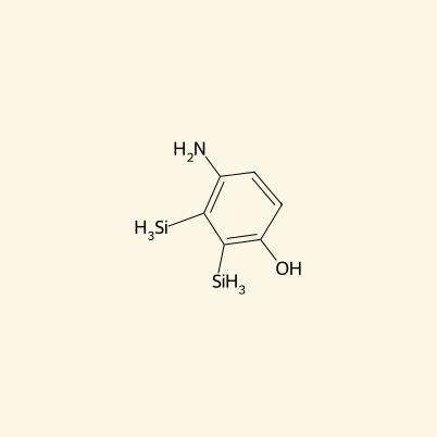 Nc1ccc(O)c([SiH3])c1[SiH3]